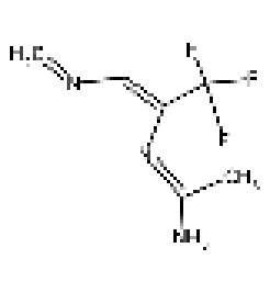 C=N/C=C(\N=C(/C)N)C(F)(F)F